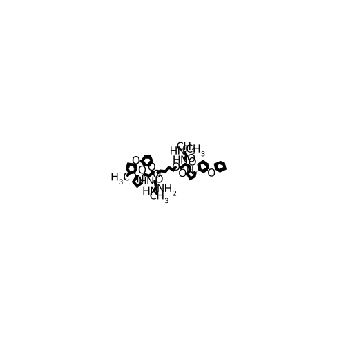 CN[C@@H](C)C(=O)N[C@@H](C(=O)OCCCCOC(=O)[C@H](NC(=O)[C@H](N)NC)C(=O)N1CCC[C@H]1C1C=C(Oc2ccccc2)C=CC1C)C(=O)N1CCC[C@H]1c1cccc(Oc2ccccc2)c1